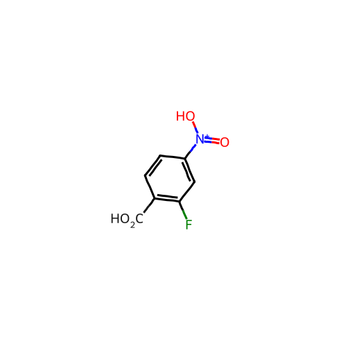 O=C(O)c1ccc([N+](=O)O)cc1F